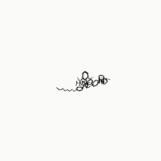 CCCCCCCCc1ccc(N(Cc2ccc([N+](=O)[O-])cc2)C(=O)Nc2c(C(C)C)cccc2C(C)C)cc1